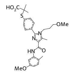 COCCCn1c(-c2ccc(SC(C)(C)C(=O)O)cc2)nc(C(=O)Nc2cc(OC)ccc2C)c1C